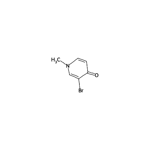 Cn1ccc(=O)c(Br)c1